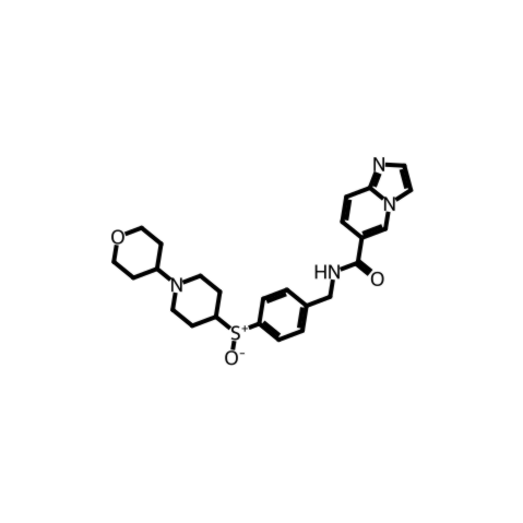 O=C(NCc1ccc([S+]([O-])C2CCN(C3CCOCC3)CC2)cc1)c1ccc2nccn2c1